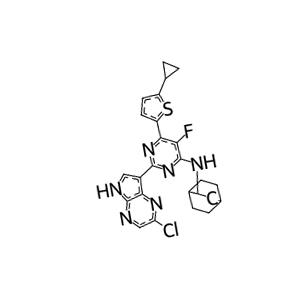 Fc1c(NC2CC3CCC2CC3)nc(-c2c[nH]c3ncc(Cl)nc23)nc1-c1ccc(C2CC2)s1